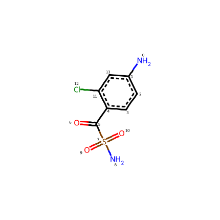 Nc1ccc(C(=O)S(N)(=O)=O)c(Cl)c1